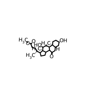 COC(=O)CC[C@@H](C)C1CCC2C3C(=O)C[C@@H]4CC(O)CC[C@]4(C)C3CC(O)[C@@]21C